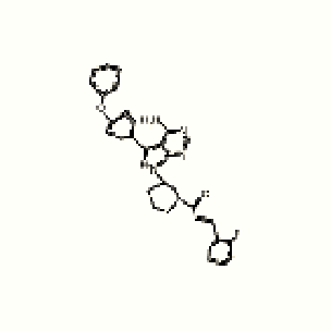 Nc1ncnc2c1c(-c1ccc(Oc3ccccc3)cc1)nn2C1CCCN(C(=O)C=Cc2ccccc2F)C1